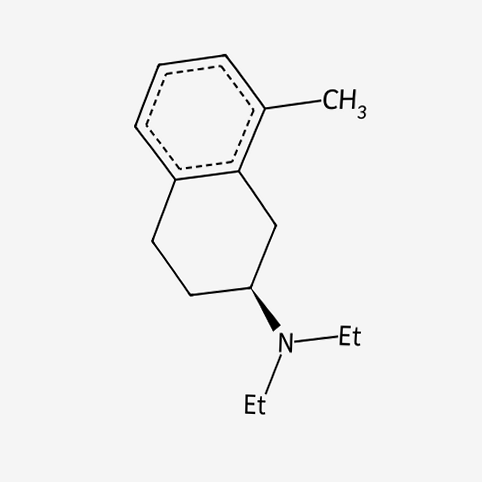 CCN(CC)[C@H]1CCc2cccc(C)c2C1